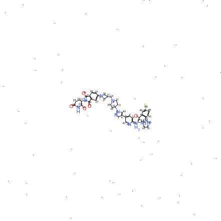 C[C@@H](Oc1cc(-c2cnn(C3CCN(CC4CN(c5ccc6c(c5)C(=O)N(C5CCC(=O)NC5=O)C6=O)C4)CC3)c2)cnc1N)c1cc(F)ccc1-n1nccn1